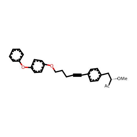 CO[C@@H](Cc1ccc(C#CCCCOc2ccc(Oc3ccccc3)cc2)cc1)C(C)=O